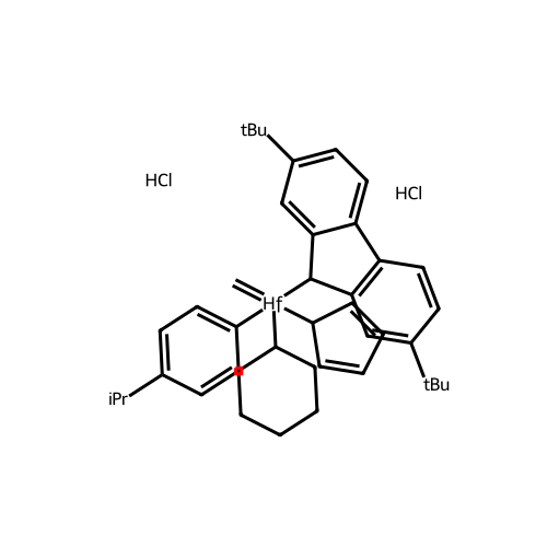 Cl.Cl.[CH2]=[Hf]([c]1ccc(C(C)C)cc1)([CH]1C=CC=C1)([CH]1CCCCC1)[CH]1c2cc(C(C)(C)C)ccc2-c2ccc(C(C)(C)C)cc21